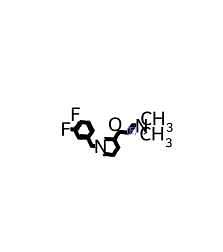 CN(C)/C=C/C(=O)C1CCCN(Cc2ccc(F)c(F)c2)C1